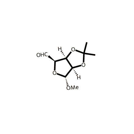 CO[C@@H]1O[C@@H](C=O)[C@H]2OC(C)(C)O[C@@H]12